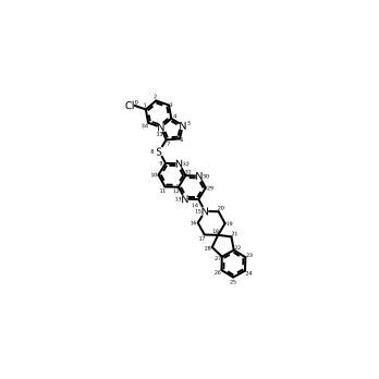 Clc1ccc2ncc(Sc3ccc4nc(N5CCC6(CC5)Cc5ccccc5C6)cnc4n3)n2c1